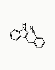 N#Cc1ccccc1Cc1c[nH]c2ccccc12